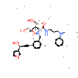 C[C@@H](O)[C@H]1[C@@H](CO)ON(Cc2cccc(C#CC(O)c3ccoc3)c2)[C@H]1C(=O)NCCCN(C)c1ccccc1